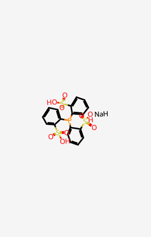 O=S(=O)(O)c1ccccc1P(c1ccccc1S(=O)(=O)O)c1ccccc1S(=O)(=O)O.[NaH]